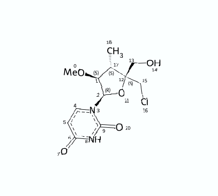 CO[C@@H]1[C@H](n2ccc(=O)[nH]c2=O)O[C@@](CO)(CCl)[C@H]1C